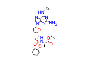 CC(C)OC(=O)[C@@H](C)NP(=O)(OC[C@@H]1CC[C@H](n2cnc3c(NC4CC4)nc(N)nc32)O1)Oc1ccccc1